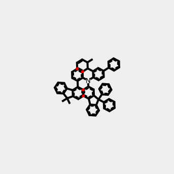 CC1C=CC=CC1c1cc(-c2ccccc2)ccc1N(c1ccc2c(c1)C(c1ccccc1)(c1ccccc1)c1ccccc1-2)c1ccccc1-c1cccc2c1-c1ccccc1C2(C)C